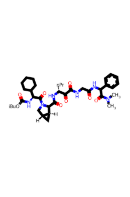 CCC[C@@H](NC(=O)C1[C@H]2C[C@@H]2CN1C(=O)[C@@H](NC(=O)OCC(C)C)C1CCCCC1)C(=O)C(=O)NCC(=O)NC(C(=O)N(C)C)c1ccccc1